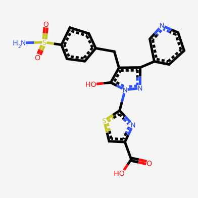 NS(=O)(=O)c1ccc(Cc2c(-c3cccnc3)nn(-c3nc(C(=O)O)cs3)c2O)cc1